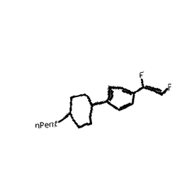 CCCCCC1CCC(c2ccc(C(F)=CF)cc2)CC1